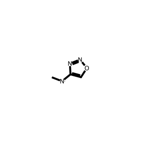 C[N]c1conn1